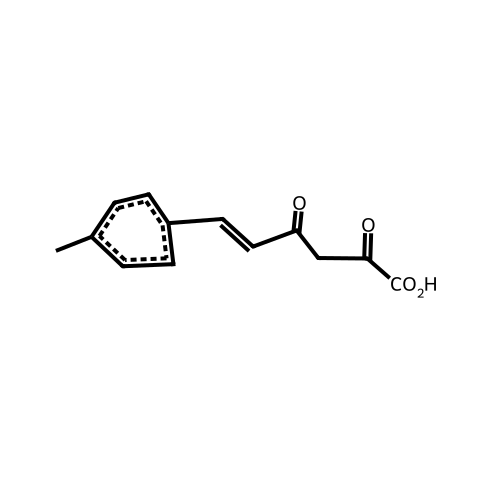 Cc1ccc(/C=C/C(=O)CC(=O)C(=O)O)cc1